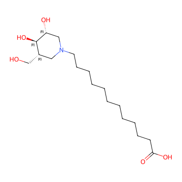 O=C(O)CCCCCCCCCCCN1C[C@H](CO)[C@@H](O)[C@H](O)C1